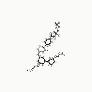 CCOc1cccc(-c2cc(CN3CCN(c4ccc(C(=O)NS(=O)(=O)CCC(F)(F)F)cc4)CC3)cc(OCC)c2)c1